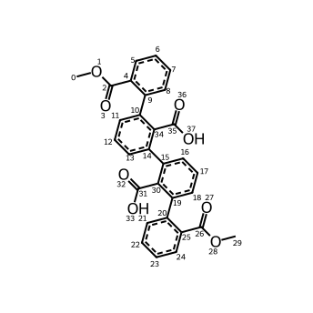 COC(=O)c1ccccc1-c1cccc(-c2cccc(-c3ccccc3C(=O)OC)c2C(=O)O)c1C(=O)O